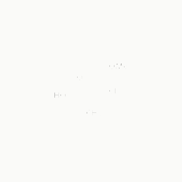 COCC1OC(O)C(C)C1C